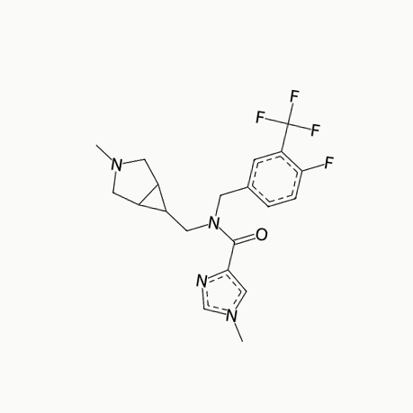 CN1CC2C(C1)C2CN(Cc1ccc(F)c(C(F)(F)F)c1)C(=O)c1cn(C)cn1